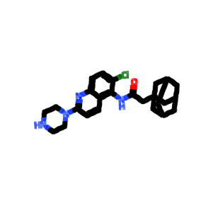 O=C(CC12CC3CC(CC(C3)C1)C2)Nc1c(Cl)ccc2nc(N3CCNCC3)ccc12